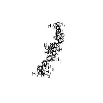 C=CC(=O)Nc1cc(Nc2nc(-c3ccnc(N4CCn5c(cc6c5CC(C)(C)C6)C4=O)c3CO)cn(C)c2=O)ccc1N1CCN(C2CCN(c3ccnc(C(C)(C)N)c3)[C@H](C)C2)C[C@@H]1C